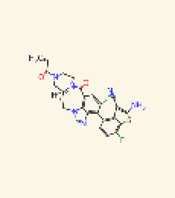 C=CC(=O)N1CCN2C(=O)c3cc(F)c(-c4ccc(F)c5sc(N)c(C#N)c45)c4ncn(c34)CC[C@H]2C1